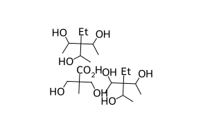 CC(CO)(CO)C(=O)O.CCC(C(C)O)(C(C)O)C(C)O.CCC(C(C)O)(C(C)O)C(C)O